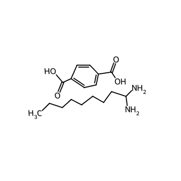 CCCCCCCCC(N)N.O=C(O)c1ccc(C(=O)O)cc1